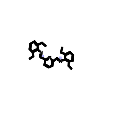 CCc1cccc(CC)c1/N=C/c1cccc(/C=N/c2c(CC)cccc2CC)n1